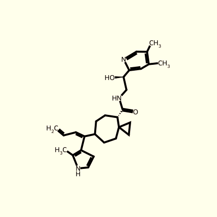 C=C/C=C(\c1cc[nH]c1C)C1CC[C@H](C(=O)NC[C@@H](O)c2cc(C)c(C)cn2)C2(CC1)CC2